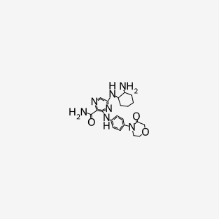 NC(=O)c1ncc(N[C@@H]2CCCC[C@@H]2N)nc1Nc1ccc(N2CCOCC2=O)cc1